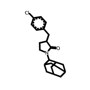 O=C1C(Cc2ccc(Cl)cc2)CCN1C1C2CC3CC(C2)CC1C3